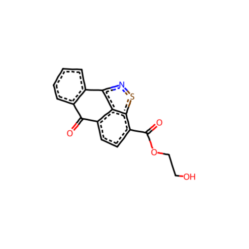 O=C(OCCO)c1ccc2c3c(nsc13)-c1ccccc1C2=O